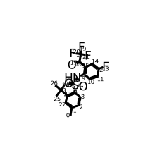 Cc1ccc(S(=O)(=O)Nc2ccc(F)cc2C(=O)C(F)(F)F)c(C(C)(C)C)c1